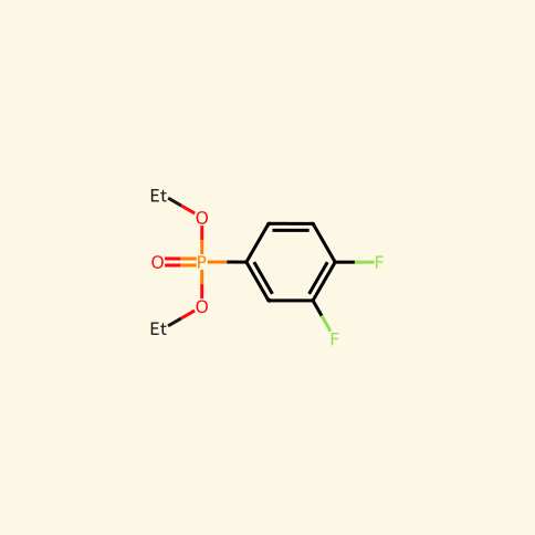 CCOP(=O)(OCC)c1ccc(F)c(F)c1